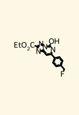 CCOC(=O)c1nc2cc(-c3ccc(CF)cc3)nc(O)n2n1